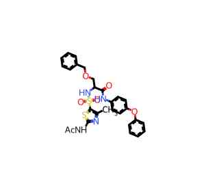 CC(=O)Nc1nc(C)c(S(=O)(=O)NC(COCc2ccccc2)C(=O)Nc2ccc(Oc3ccccc3)cc2)s1